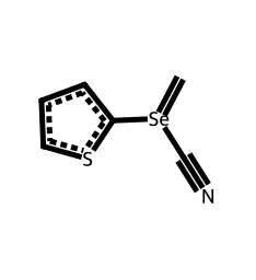 C=[Se](C#N)c1cccs1